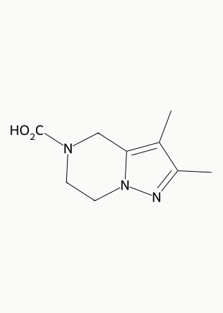 Cc1nn2c(c1C)CN(C(=O)O)CC2